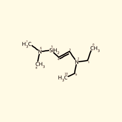 CCN(C=C[SiH2]N(C)C)CC